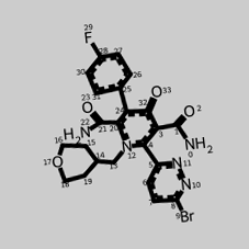 NC(=O)c1c(-c2ccc(Br)nn2)n(CC2CCOCC2)c(C(N)=O)c(-c2ccc(F)cc2)c1=O